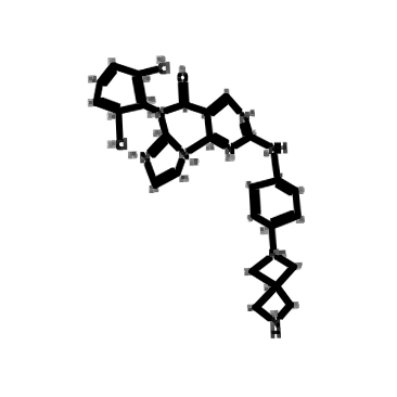 O=c1c2cnc(Nc3ccc(N4CC5(CNC5)C4)cc3)nc2n2ccnc2n1-c1c(Cl)cccc1Cl